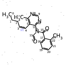 CCC/C=C\c1c(C)ncnc1N(C=O)C(=O)c1ccccc1C